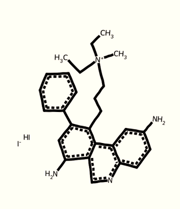 CC[N+](C)(CC)CCCc1c(-c2ccccc2)cc(N)c2cnc3ccc(N)cc3c12.I.[I-]